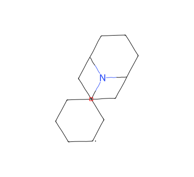 [CH]1CCCC(N2C3CCCC2CCC3)C1